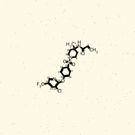 C=CC(=O)NC1(C)CCN(S(=O)(=O)c2ccc(Oc3ncc(C(F)(F)F)cc3Cl)cc2)CC1